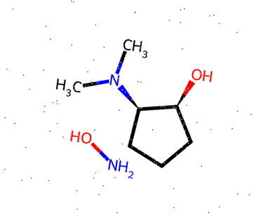 CN(C)[C@@H]1CCC[C@@H]1O.NO